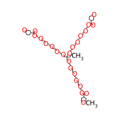 CCCC(COCCOCCOCCOCCOCCOC(=O)C1CCOC(C)C1)(COCCOCCOCCOCCOCCOC(=O)C1CCC2OC2C1)COCCOCCOCCOCCOCCOC(=O)C1CCC2OC2C1